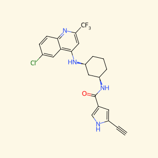 C#Cc1cc(C(=O)N[C@@H]2CCC[C@H](Nc3cc(C(F)(F)F)nc4ccc(Cl)cc34)C2)c[nH]1